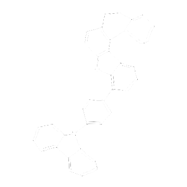 c1ccc2c(c1)CCc1ccc3oc4c(-c5ccc(-n6c7ccccc7c7ccccc76)cc5)cccc4c3c1-2